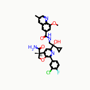 COc1cc(C(=O)NC[C@](O)(c2cc3c(c(-c4ccc(F)c(Cl)c4)n2)OC[C@]3(C)C(N)=O)C2CC2)cc2cc(C)cnc12